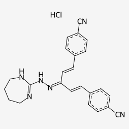 Cl.N#Cc1ccc(C=CC(C=Cc2ccc(C#N)cc2)=NNC2=NCCCCN2)cc1